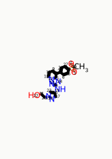 CS(=O)(=O)c1ccc(-c2cccn3nc(Nc4cnn(CCO)c4)nc23)cc1